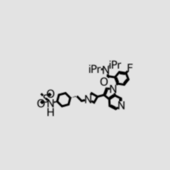 CC(C)N(C(=O)c1cc(F)ccc1-n1cc(C2CN(CC[C@H]3CC[C@H](NS(C)(=O)=O)CC3)C2)c2ccncc21)C(C)C